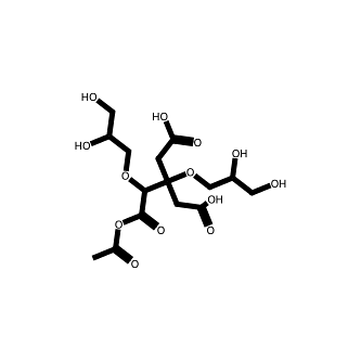 CC(=O)OC(=O)C(OCC(O)CO)C(CC(=O)O)(CC(=O)O)OCC(O)CO